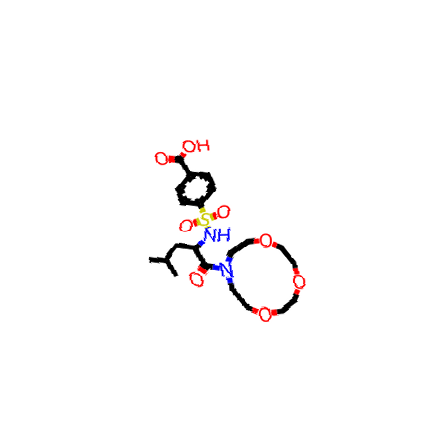 CC(C)CC(NS(=O)(=O)c1ccc(C(=O)O)cc1)C(=O)N1CCOCCOCCOCC1